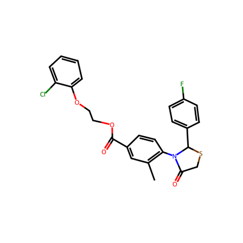 Cc1cc(C(=O)OCCOc2ccccc2Cl)ccc1N1C(=O)CSC1c1ccc(F)cc1